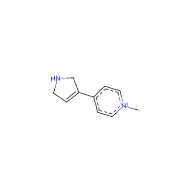 C[n+]1ccc(C2=CCNC2)cc1